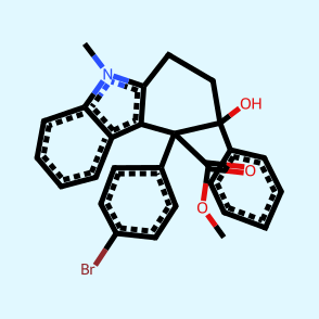 COC(=O)C1(c2ccc(Br)cc2)c2c(n(C)c3ccccc23)CCC1(O)c1ccccc1